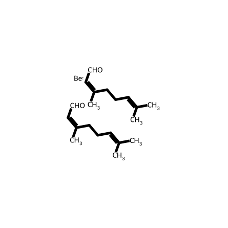 CC(C)=CCC/C(C)=C\C=O.CC(C)=CCC/C(C)=C\C=O.[Be]